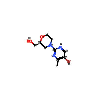 Cc1nc(N2CCO[C@@H](CO)C2)ncc1Br